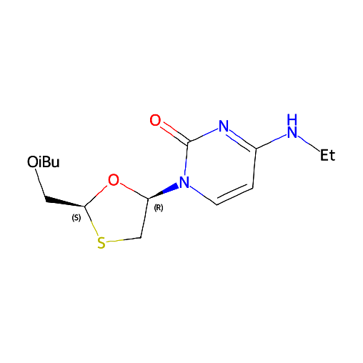 CCNc1ccn([C@H]2CS[C@@H](COCC(C)C)O2)c(=O)n1